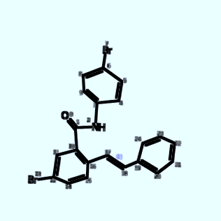 O=C(Nc1ccc(Br)cc1)c1cc(Br)ccc1/C=C/c1ccccc1